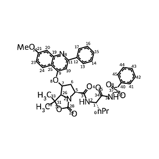 CCC[C@H](NC(=O)[C@@H]1CC(Oc2cc(-c3ccccc3)nc3cc(OC)ccc23)C2N1C(=O)OC2(C)C)C(=O)NS(=O)(=O)c1ccccc1